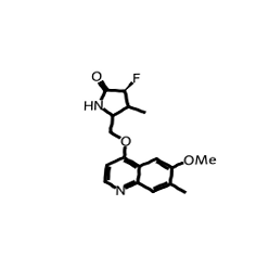 COc1cc2c(OCC3NC(=O)[C@@H](F)C3C)ccnc2cc1C